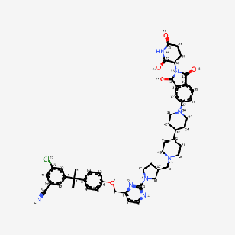 CC(C)(c1ccc(OCc2ccnc(N3CCC(CN4CCC(C5CCN(c6ccc7c(c6)C(=O)N(C6CCC(=O)NC6=O)C7=O)CC5)CC4)C3)n2)cc1)c1cc(Cl)cc(C#N)c1